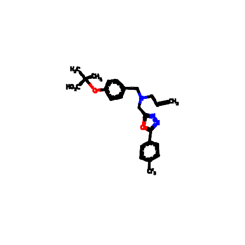 C=CCN(Cc1ccc(OC(C)(C)C(=O)O)cc1)Cc1nnc(-c2ccc(C(F)(F)F)cc2)o1